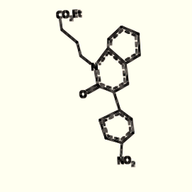 CCOC(=O)CCCn1c(=O)c(-c2ccc([N+](=O)[O-])cc2)cc2ccccc21